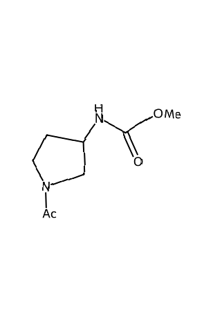 COC(=O)NC1CCN(C(C)=O)C1